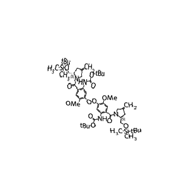 C=C1C[C@@H](CO[Si](C)(C)C(C)(C)C)N(C(=O)c2cc(OC)c(OOc3cc(NC(=O)OC(C)(C)C)c(C(=O)N4CC(=C)C[C@H]4CO[Si](C)(C)C(C)(C)C)cc3OC)cc2NC(=O)OC(C)(C)C)C1